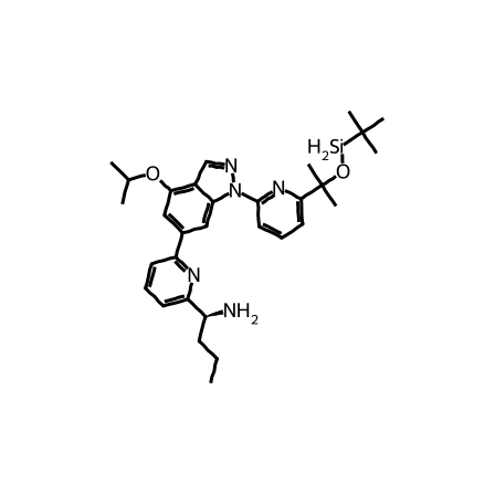 CCC[C@H](N)c1cccc(-c2cc(OC(C)C)c3cnn(-c4cccc(C(C)(C)O[SiH2]C(C)(C)C)n4)c3c2)n1